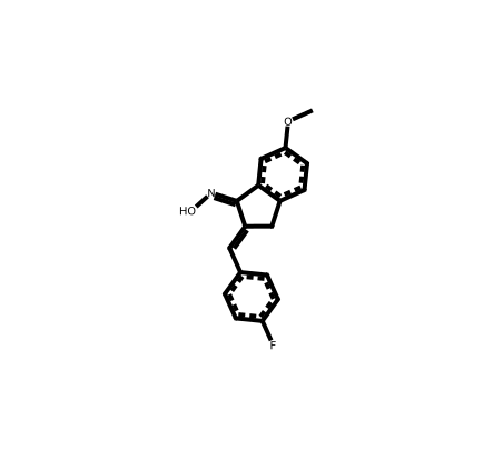 COc1ccc2c(c1)C(=N/O)/C(=C/c1ccc(F)cc1)C2